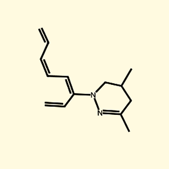 C=C/C=C\C=C(/C=C)N1CC(C)CC(C)=N1